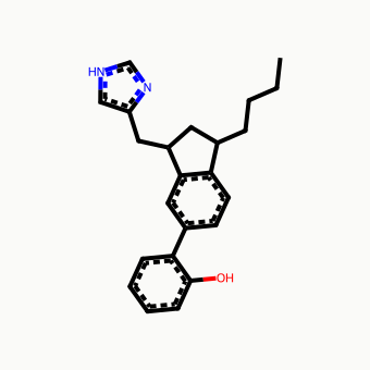 CCCCC1CC(Cc2c[nH]cn2)c2cc(-c3ccccc3O)ccc21